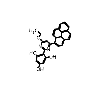 CCOc1cc(C2=CC=C3C=Cc4cccc5c4C3C2C=C5)nc(-c2c(O)cc(O)cc2O)n1